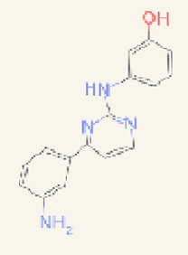 Nc1cccc(-c2ccnc(Nc3cccc(O)c3)n2)c1